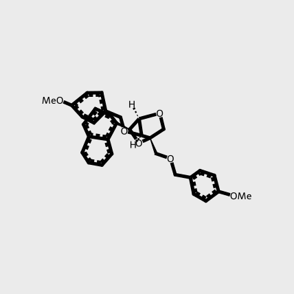 COc1ccc(COC[C@@]23CO[C@H]([C@H](c4cccc5ccccc45)O2)[C@@H]3OCc2ccc(OC)cc2)cc1